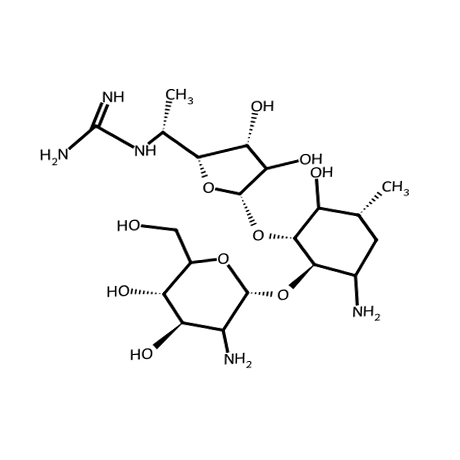 C[C@@H]1CC(N)[C@@H](O[C@H]2OC(CO)[C@@H](O)[C@H](O)C2N)[C@H](O[C@@H]2O[C@H]([C@@H](C)NC(=N)N)[C@H](O)C2O)C1O